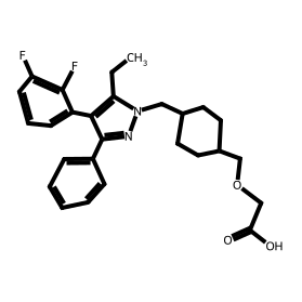 CCc1c(-c2cccc(F)c2F)c(-c2ccccc2)nn1CC1CCC(COCC(=O)O)CC1